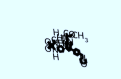 CNc1c(N[C@H]2CC[C@H](c3cc(-c4ccc(CN5CCOCC5)cc4)c4cnc(NC(C)COC)nn43)CC2)c(=O)c1=O